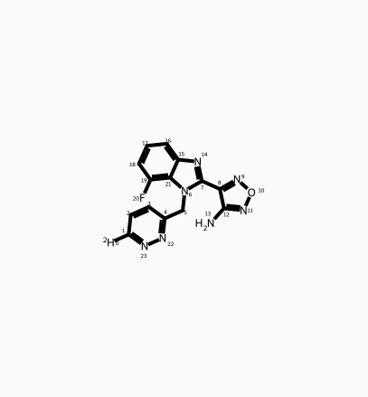 [2H]c1ccc(Cn2c(-c3nonc3N)nc3cccc(F)c32)nn1